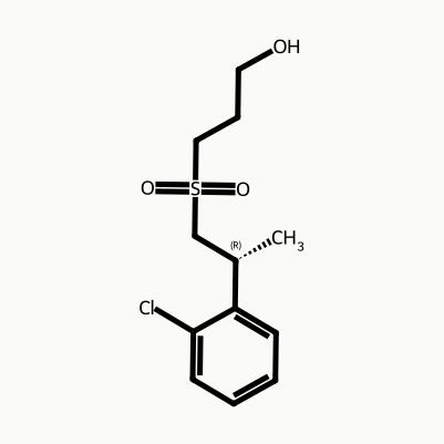 C[C@@H](CS(=O)(=O)CCCO)c1ccccc1Cl